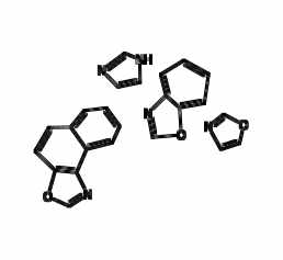 c1c[nH]cn1.c1ccc2c(c1)ccc1ocnc12.c1ccc2ocnc2c1.c1cocn1